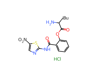 CCC(C)C(N)C(=O)Oc1ccccc1C(=O)Nc1ncc([N+](=O)[O-])s1.Cl